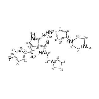 CN1CCN(c2ccc(Nc3nc(NCCN4CCCC4)c4c(C(=O)c5ccc(F)cc5)c[nH]c4n3)cc2)CC1